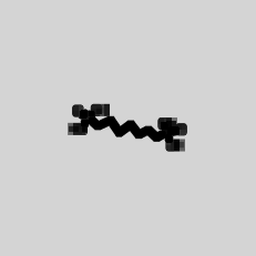 O=P(O)(O)CCCCCCCP(=O)(O)O